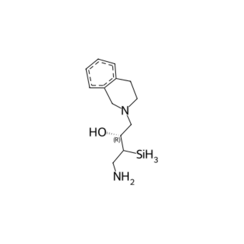 NCC([SiH3])[C@H](O)CN1CCc2ccccc2C1